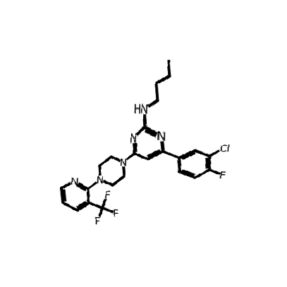 CCCCNc1nc(-c2ccc(F)c(Cl)c2)cc(N2CCN(c3ncccc3C(F)(F)F)CC2)n1